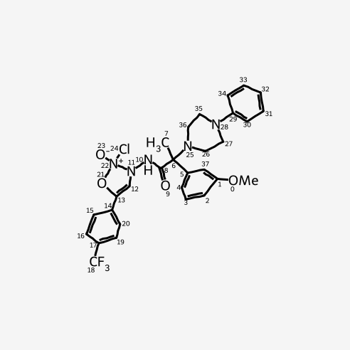 COc1cccc(C(C)(C(=O)NN2C=C(c3ccc(C(F)(F)F)cc3)O[N+]2([O-])Cl)N2CCN(c3ccccc3)CC2)c1